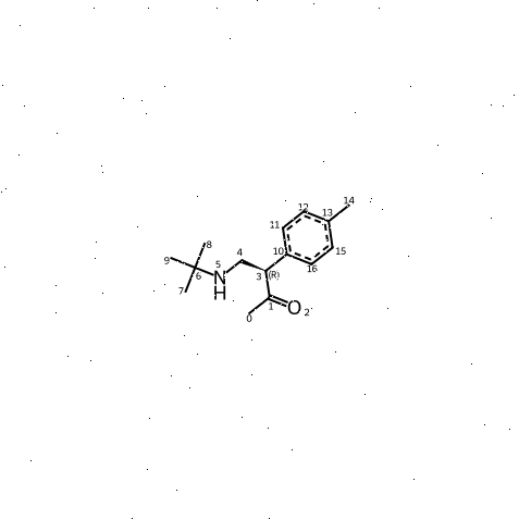 CC(=O)[C@@H](CNC(C)(C)C)c1ccc(C)cc1